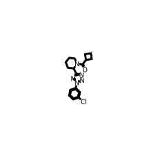 O=C(C1CCC1)N1CCCCC1c1nnn(-c2cccc(Cl)c2)n1